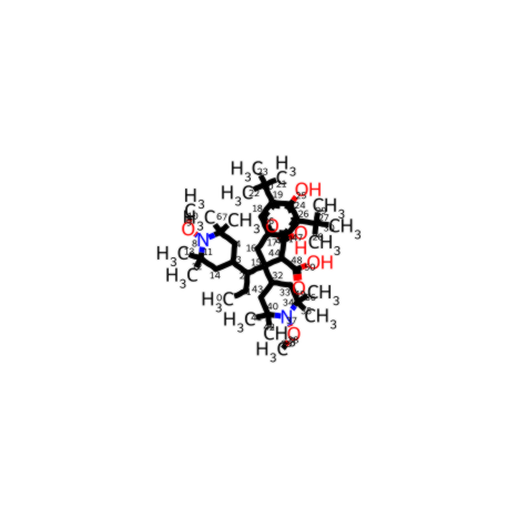 CCC(C1CC(C)(C)N(OC)C(C)(C)C1)C(Cc1cc(C(C)(C)C)c(O)c(C(C)(C)C)c1)(C1CC(C)(C)N(OC)C(C)(C)C1)C(C(=O)O)C(=O)O